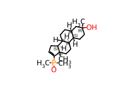 C[C@@]1(O)CC[C@H]2[C@H](CC[C@@H]3[C@@H]2CC[C@]2(C)C(P(C)(C)=O)=CC[C@@H]32)C1